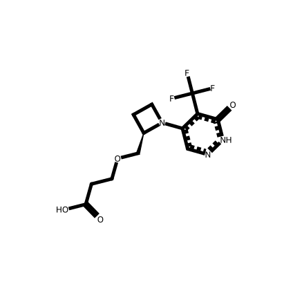 O=C(O)CCOC[C@H]1CCN1c1cn[nH]c(=O)c1C(F)(F)F